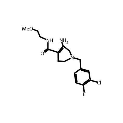 COCCNC(=O)C1=C(N)CN(Cc2ccc(F)c(Cl)c2)CC1